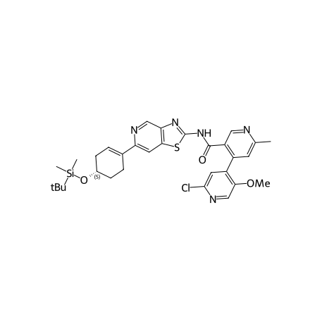 COc1cnc(Cl)cc1-c1cc(C)ncc1C(=O)Nc1nc2cnc(C3=CC[C@@H](O[Si](C)(C)C(C)(C)C)CC3)cc2s1